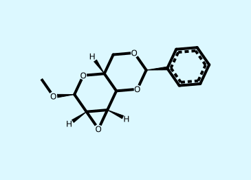 CO[C@H]1O[C@@H]2CO[C@@H](c3ccccc3)OC2[C@@H]2O[C@H]12